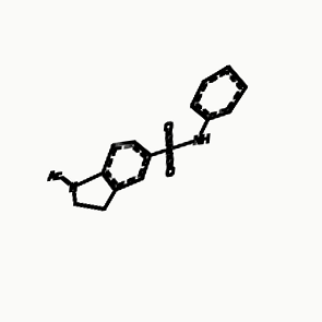 CC(=O)N1CCc2cc(S(=O)(=O)Nc3ccccc3)ccc21